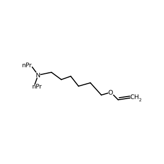 C=COCCCCCCN(CCC)CCC